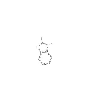 O=C(O)n1c(Cl)nc2ccccc21